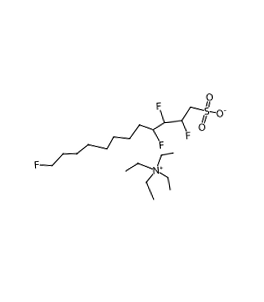 CC[N+](CC)(CC)CC.O=S(=O)([O-])CC(F)C(F)C(F)CCCCCCCCF